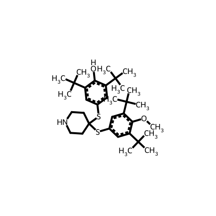 COc1c(C(C)(C)C)cc(SC2(Sc3cc(C(C)(C)C)c(O)c(C(C)(C)C)c3)CCNCC2)cc1C(C)(C)C